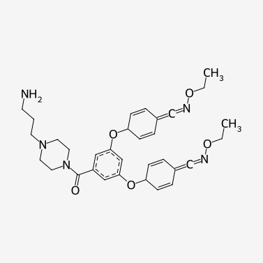 CCON=C=C1C=CC(Oc2cc(OC3C=CC(=C=NOCC)C=C3)cc(C(=O)N3CCN(CCCN)CC3)c2)C=C1